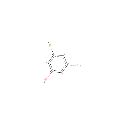 [B]c1cc(F)cc(F)c1